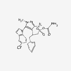 Cc1nn(C)c(-n2ccc3cc(Cl)ccc32)c1C(Cc1ccccc1)CS(=O)(=O)OC(N)=O